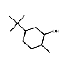 CC1CCC(C(C)(C)C)CC1O